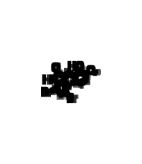 COc1ccc(Br)c(C=C2C(=O)Nc3c(Br)cc(Br)cc32)c1O